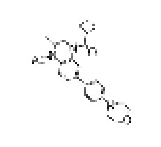 CC(=O)N1c2ccc(-c3ccc(N4CCOCC4)cc3)cc2N(C(=O)C2CCC2)CC1C